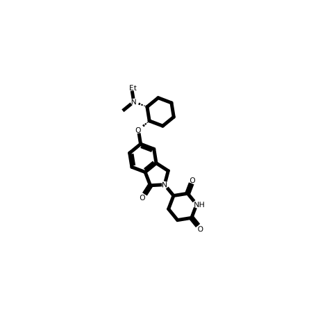 CCN(C)[C@@H]1CCCC[C@@H]1Oc1ccc2c(c1)CN(C1CCC(=O)NC1=O)C2=O